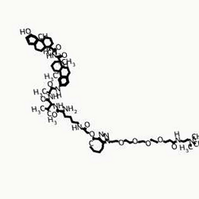 CC(C)C(NC(=O)[C@H](N)CCCCNC(=O)COC1CCCCCc2c1nnn2CCOCCOCCOCCOCCC(=O)NCC[N+](C)(C)C)C(=O)N[C@@H](C)C(=O)Nc1ccc2c(c1)[C@@]1(C)CCC[C@](C)(C(=O)NC(=O)[C@@]3(C)CCC[C@]4(C)c5cc(O)ccc5CC[C@@H]34)[C@@H]1CC2